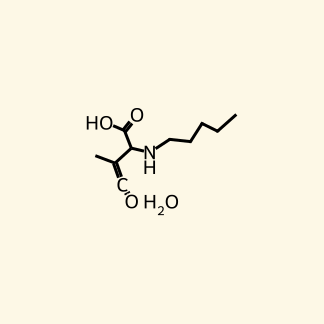 CCCCCNC(C(=O)O)C(C)=C=O.O